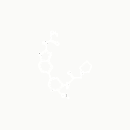 CC(=O)Nc1nc2ccc(-c3cnc(C)c(NC(=O)CN4CCCC4)c3)cc2s1